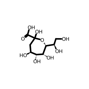 O=C(O)C1(O)C[C@H](O)[C@@H](O)[C@@H](O)[C@@H]([C@H](O)CO)O1